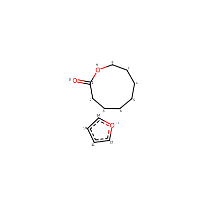 O=C1CCCCCCCO1.c1ccoc1